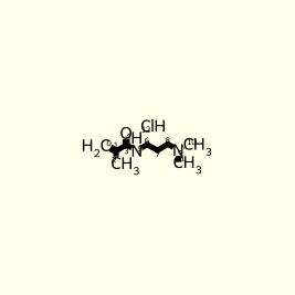 C=C(C)C(=O)NCCCN(C)C.Cl